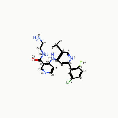 CC(C)c1cnc(-c2cc(Cl)ccc2F)cc1Nc1ccncc1C(=O)NCCN